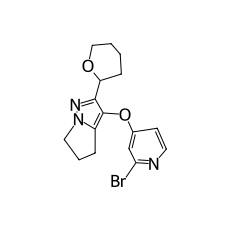 Brc1cc(Oc2c(C3CCCCO3)nn3c2CCC3)ccn1